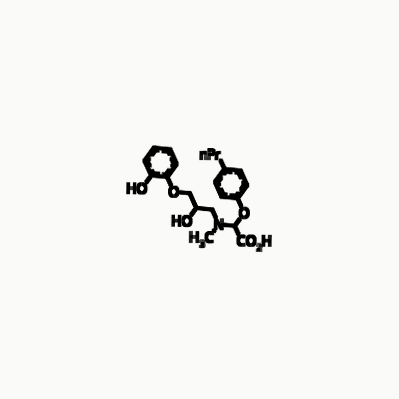 CCCc1ccc(OC(C(=O)O)N(C)CC(O)COc2ccccc2O)cc1